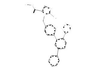 CCCCc1ncc(C(=O)NC(C)(C)C)n1Cc1ccc(-c2cc(-c3ccccc3)ccc2-c2nn[nH]n2)cc1